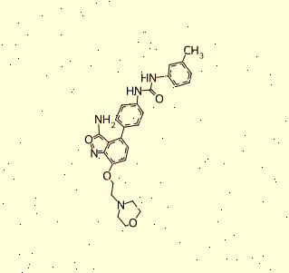 Cc1cccc(NC(=O)Nc2ccc(-c3ccc(OCCN4CCOCC4)c4noc(N)c34)cc2)c1